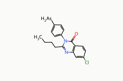 CCCCc1nc2cc(Cl)ccc2c(=O)n1-c1ccc([AsH2])cc1